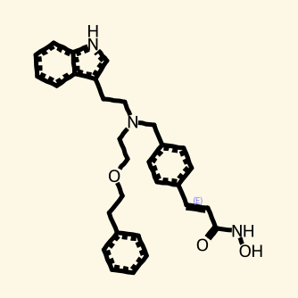 O=C(/C=C/c1ccc(CN(CCOCCc2ccccc2)CCc2c[nH]c3ccccc23)cc1)NO